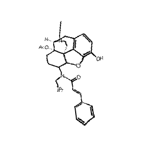 CC(=O)O[C@@]12CCC(N(CC(C)C)C(=O)/C=C/c3ccccc3)C3Oc4c(O)ccc5c4[C@@]31CCN(C)[C@@H]2C5